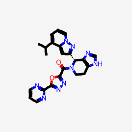 CC(C)c1cccn2nc([C@@H]3c4nc[nH]c4CCN3C(=O)c3nnc(-c4ncccn4)o3)cc12